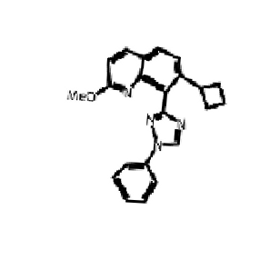 COc1ccc2ccc(C3CCC3)c(-c3ncn(-c4ccccc4)n3)c2n1